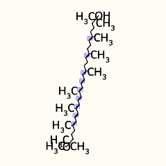 COC(C)(C)CCC/C(C)=C/C=C/C(C)=C/C=C/C(C)=C/C=C/C=C(\C)CC/C=C(\C)CC/C=C(\C)CCCC(C)(C)O